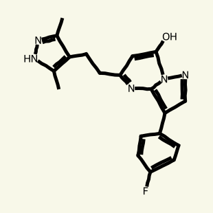 Cc1n[nH]c(C)c1CCc1cc(O)n2ncc(-c3ccc(F)cc3)c2n1